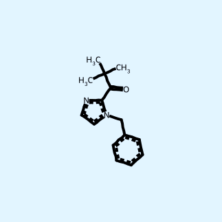 CC(C)(C)C(=O)c1nccn1Cc1ccccc1